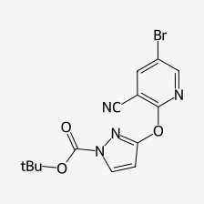 CC(C)(C)OC(=O)n1ccc(Oc2ncc(Br)cc2C#N)n1